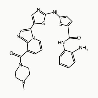 CN1CCN(C(=O)c2cccn3c(-c4cnc(Nc5ccc(C(=O)Nc6ccccc6N)s5)s4)cnc23)CC1